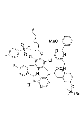 C=CCOC[C@H](COS(=O)(=O)c1ccc(C)cc1)Oc1c(Cl)c(C)c(-n2c(-c3ccc(F)cc3)c(Cl)c3ncnc(OC(Cc4cc(O[Si](C)(C)C(C)(C)C)ccc4OCc4ccnc(-c5ccccc5OC)n4)C(=O)O)c32)c(C)c1Cl